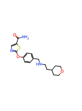 NC(=O)c1cnc(Oc2ccc(CNCCC3CCOCC3)cc2)s1